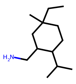 CCC1(C)CCC(C(C)C)C(CN)C1